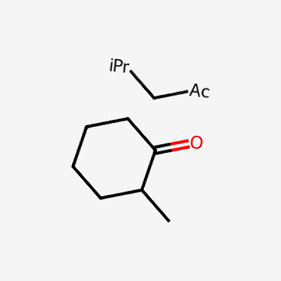 CC(=O)CC(C)C.CC1CCCCC1=O